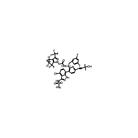 CNS(=O)(=O)Nc1nn(C)c2c(-c3ccc(C#CC(C)(C)O)nc3[C@H](Cc3cc(F)cc(F)c3)NC(=O)Cn3nc(C(F)(F)F)c4c3C(F)(F)[C@@H]3C[C@H]43)ccc(Cl)c12